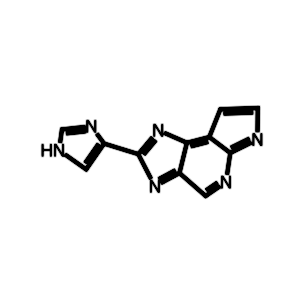 C1=Cc2c3c(cnc2=N1)=NC(c1c[nH]cn1)=N3